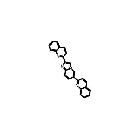 c1ccc2nc(-c3ccc4nc(-c5ccc6ccccc6n5)cn4c3)ccc2c1